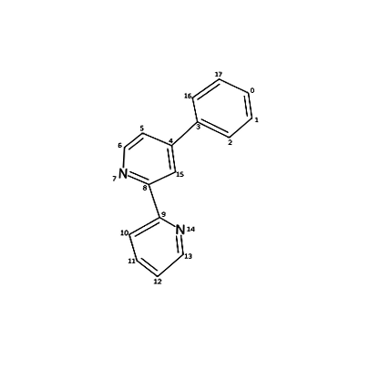 c1ccc(-c2ccnc(-c3ccccn3)c2)cc1